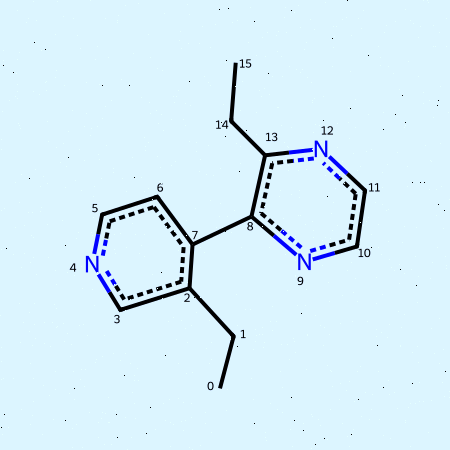 CCc1cnccc1-c1nccnc1CC